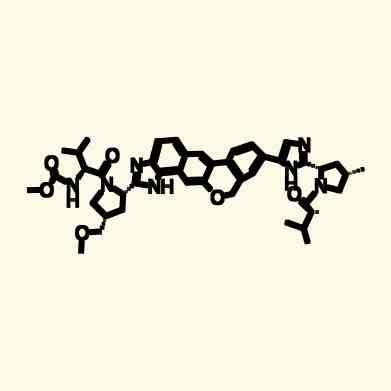 COC[C@H]1C[C@@H](c2nc3ccc4cc5c(cc4c3[nH]2)OCc2cc(-c3cnc([C@@H]4C[C@H](C)CN4C(=O)[CH]C(C)C)[nH]3)ccc2-5)N(C(=O)[C@@H](NC(=O)OC)C(C)C)C1